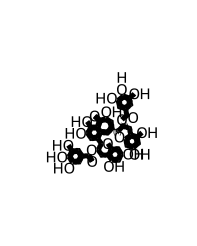 O=C(OC1Cc2c(O)cc(O)cc2OC1c1cc(O)c(O)c2c(=O)c(O)cc([C@H]3Oc4cc(O)cc(O)c4C[C@H]3OC(=O)c3cc(O)c(O)c(O)c3)cc12)c1cc(O)c(O)c(O)c1